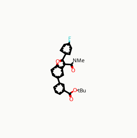 CNC(=O)c1c(-c2ccc(F)cc2)oc2ccc(-c3cccc(C(=O)OC(C)(C)C)c3)cc12